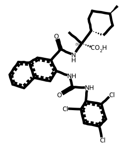 C[C@@](NC(=O)c1cc2ccccc2cc1NC(=O)Nc1c(Cl)cc(Cl)cc1Cl)(C(=O)O)[C@H]1CC[C@H](C)CC1